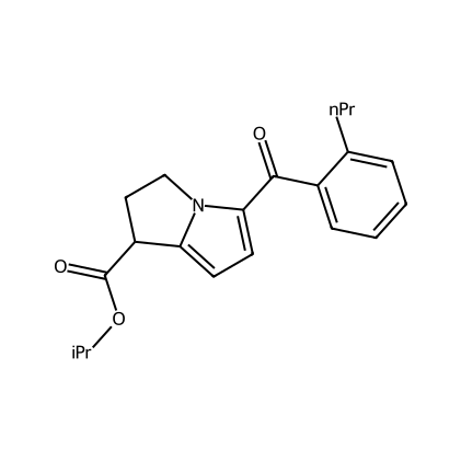 CCCc1ccccc1C(=O)c1ccc2n1CCC2C(=O)OC(C)C